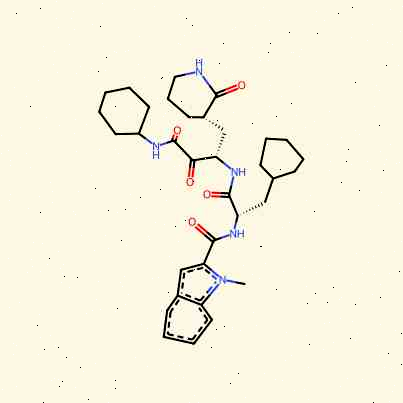 Cn1c(C(=O)N[C@@H](CC2CCCCC2)C(=O)N[C@@H](C[C@@H]2CCCNC2=O)C(=O)C(=O)NC2CCCCC2)cc2ccccc21